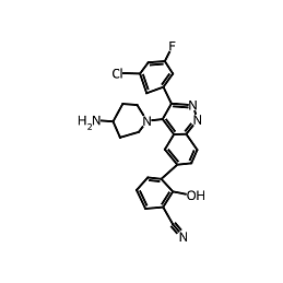 N#Cc1cccc(-c2ccc3nnc(-c4cc(F)cc(Cl)c4)c(N4CCC(N)CC4)c3c2)c1O